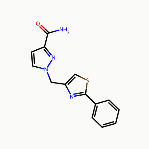 NC(=O)c1[c]cn(Cc2csc(-c3ccccc3)n2)n1